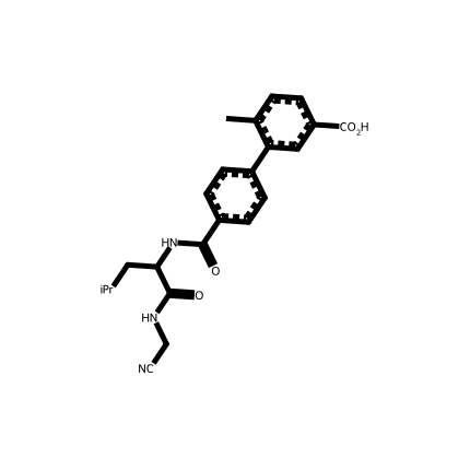 Cc1ccc(C(=O)O)cc1-c1ccc(C(=O)NC(CC(C)C)C(=O)NCC#N)cc1